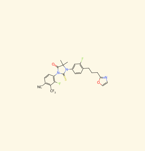 CC1(C)C(=O)N(c2ccc(C#N)c(C(F)(F)F)c2F)C(=S)N1c1ccc(CCCc2ncco2)c(F)c1